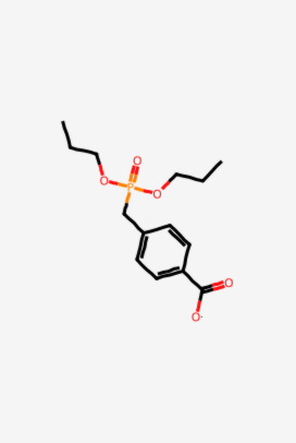 CCCOP(=O)(Cc1ccc(C([O])=O)cc1)OCCC